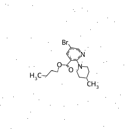 CCCCOC(=O)c1cc(Br)cnc1N1CCC(C)CC1